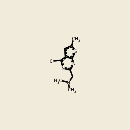 Cc1cc2c(Cl)nc(CN(C)C)nc2s1